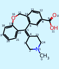 CN1CCC(=C2c3cc(C(=O)O)ccc3COc3ccccc32)CC1